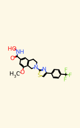 COc1cc(C(=O)NO)cc2c1CN(c1nc(-c3ccc(C(F)(F)F)cc3)cs1)CC2